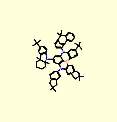 CC1(C)Cc2ccc(N3c4cc5c(cc4B4c6ccc(C(C)(C)C)cc6N(c6ccc7cc6-c6ccccc6C7(C)C)c6cc(N7c8ccc(C(C)(C)C)cc8C8(C)CCCCC78C)cc3c64)CC(C)(C)C5)cc2C1